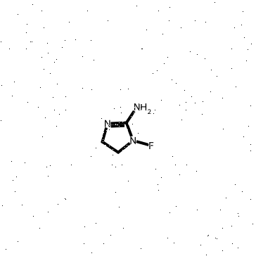 NC1=NCCN1F